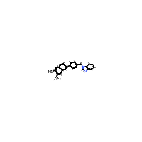 COc1cc2cc(-c3ccc(Cn4cnc5ccccc54)cc3)ccc2cc1C#N